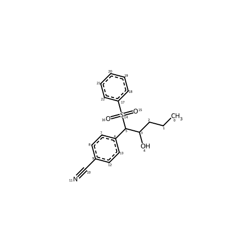 CCCC(O)C(c1ccc(C#N)cc1)S(=O)(=O)c1ccccc1